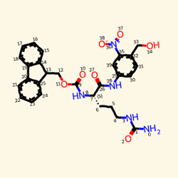 NC(=O)NCCC[C@H](NC(=O)OCC1c2ccccc2-c2ccccc21)C(=O)Nc1ccc(CO)c([N+](=O)[O-])c1